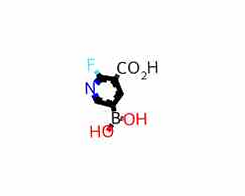 O=C(O)c1cc(B(O)O)cnc1F